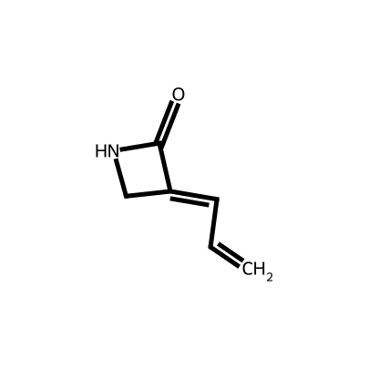 C=CC=C1CNC1=O